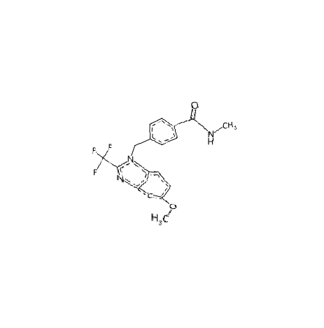 CNC(=O)c1ccc(Cn2c(C(F)(F)F)nc3cc(OC)ccc32)cc1